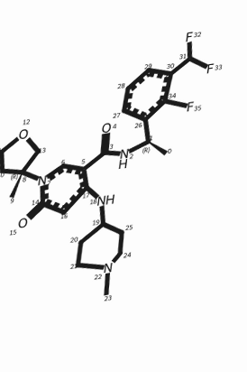 C[C@@H](NC(=O)c1cn([C@]2(C)CCOC2)c(=O)cc1NC1CCN(C)CC1)c1cccc(C(F)F)c1F